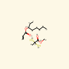 C=CC(=O)OC(CC)CCCCC.COC(=O)C(C)(S)S